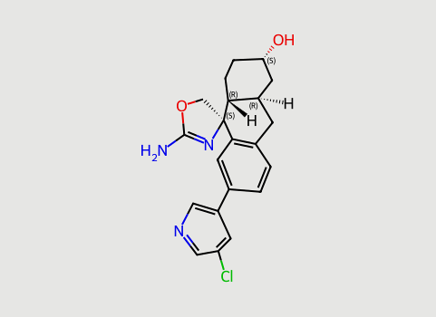 NC1=N[C@]2(CO1)c1cc(-c3cncc(Cl)c3)ccc1C[C@@H]1C[C@@H](O)CC[C@H]12